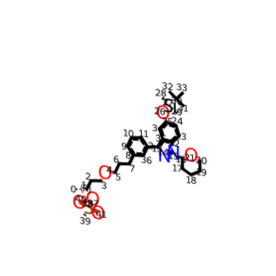 C[C@H](CCOCCCc1cccc(-c2nn(C3CCCCO3)c3ccc(O[Si](C)(C)C(C)(C)C)cc23)c1)OS(C)(=O)=O